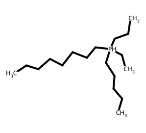 CCCCCCCC[PH](CC)(CCC)CCCCC